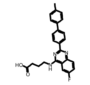 Cc1ccc(-c2ccc(-c3nc(NCCCC(=O)O)c4cc(F)ccc4n3)cc2)cc1